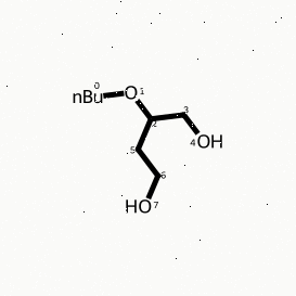 CCCCOC(CO)CCO